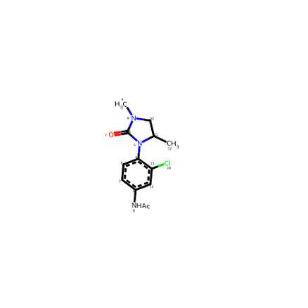 CC(=O)Nc1ccc(N2C(=O)N(C)CC2C)c(Cl)c1